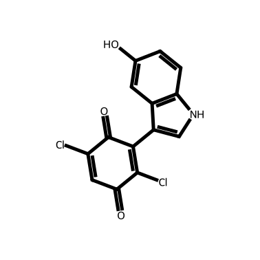 O=C1C=C(Cl)C(=O)C(c2c[nH]c3ccc(O)cc23)=C1Cl